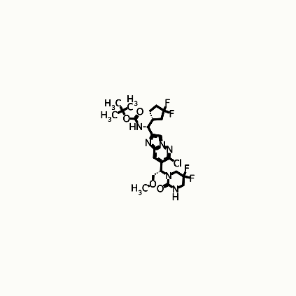 COC[C@H](c1cc2nc([C@H](NC(=O)OC(C)(C)C)[C@@H]3CCC(F)(F)C3)cn2nc1Cl)N1CC(F)(F)CNC1=O